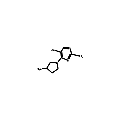 CC(=O)c1cnc(N)nc1N1CCC(C)C1